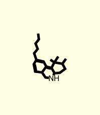 CCCCCC1=CC2=C3C(CCC(C)C3(C)C)NCC2C=C1